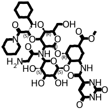 COC(=O)C1CC(NC(=O)c2cc(=O)[nH]c(=O)[nH]2)C(O[C@@H]2OC(C)[C@@H](O)C(O)C2O)[C@H](O[C@@H]2OC(CO)[C@H](O)C(O[C@@H](CC3CCCCC3)C(=O)N3CCCCC3)C2NC(=O)CN)C1